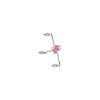 CCCCCCCCC=CCCCCCCCC(=O)C(C(O[PH-])(C(=O)CCCCCCCC=CCCCCCCCC)C(=O)CCCCCCCCCCCCCCC)[N+](C)(C)C